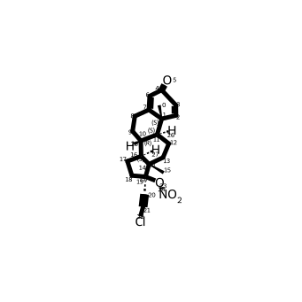 C[C@]12C=CC(=O)C=C1CC[C@@H]1[C@@H]2CC[C@@]2(C)[C@H]1CC[C@]2(C#CCl)O[N+](=O)[O-]